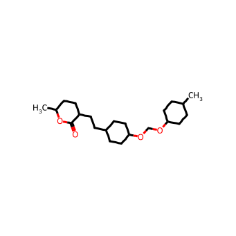 CC1CCC(OCOC2CCC(CCC3CCC(C)OC3=O)CC2)CC1